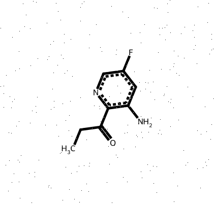 CCC(=O)c1ncc(F)cc1N